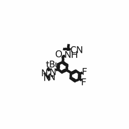 CC(C)(C#N)NC(=O)c1cc(-c2ccc(F)c(F)c2)cc(-n2nnnc2C(C)(C)C)c1